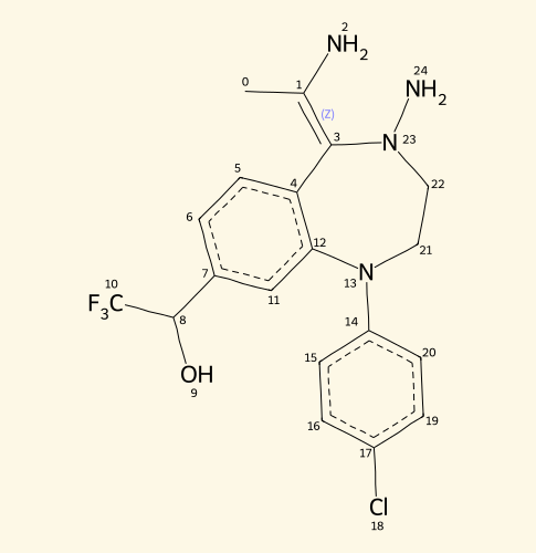 C/C(N)=C1\c2ccc(C(O)C(F)(F)F)cc2N(c2ccc(Cl)cc2)CCN1N